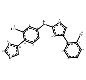 Oc1cc(Nc2ncc(-c3ccccc3Br)o2)ccc1-c1cnco1